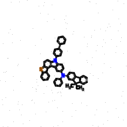 CC1(C)c2ccccc2-c2ccc(N(c3ccccc3)c3ccc4c(c3)c3c5c(ccc3n4-c3ccc(-c4ccccc4)cc3)sc3ccccc35)cc21